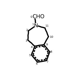 O=CN1CCc2ccccc2CC1